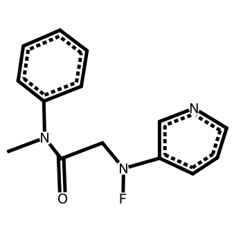 CN(C(=O)CN(F)c1cccnc1)c1ccccc1